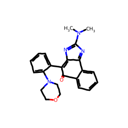 CN(C)C1=NC2=C(c3ccccc3N3CCOCC3)C(=O)c3ccccc3C2=N1